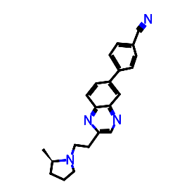 C[C@@H]1CCCN1CCc1cnc2cc(-c3ccc(C#N)cc3)ccc2n1